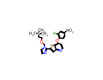 C[Si](C)(C)CCOCn1ccnc1-c1cc2nccc(Oc3ccc([N+](=O)[O-])cc3F)c2s1